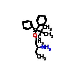 CC[C@H](N)CCO[Si](c1ccccc1)(c1ccccc1)C(C)(C)C